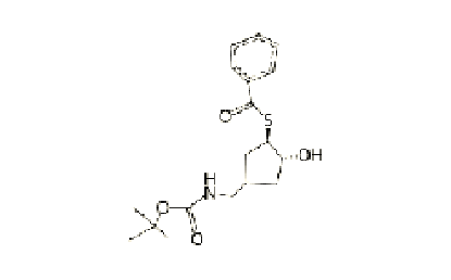 CC(C)(C)OC(=O)NCC1C[C@@H](O)[C@H](SC(=O)c2ccccc2)C1